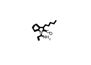 C=CC(N)N1C(=C=O)C(CCCCC)c2ccccc21